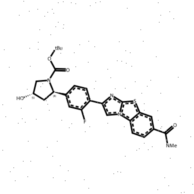 CNC(=O)c1ccc2c(c1)sc1nc(-c3ccc([C@H]4C[C@H](O)CN4C(=O)OC(C)(C)C)cc3F)cn12